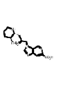 O=C(C[C@H]1NCCC[C@@H]1O)Cn1cnc2cc(C(=O)O)ncc21